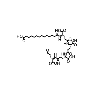 O=CCC[C@H](NC(=O)CC[C@H](NC(=O)CC[C@H](NC(=O)CC[C@H](NC(=O)CCCCCCCCCCCCC(=O)O)C(=O)O)C(=O)O)C(=O)O)C(=O)O